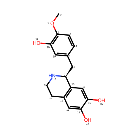 COc1ccc(C[C@@H]2NCCc3cc(O)c(O)cc32)cc1O